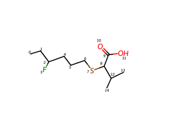 CCC(F)CCCSC(C(=O)O)C(C)C